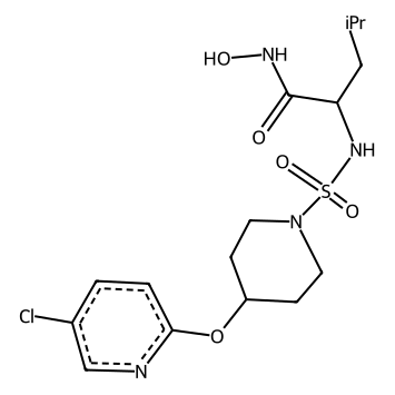 CC(C)CC(NS(=O)(=O)N1CCC(Oc2ccc(Cl)cn2)CC1)C(=O)NO